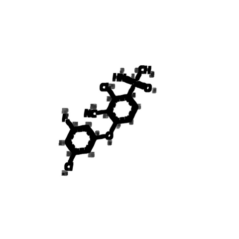 CS(=N)(=O)c1ccc(Oc2cc(F)cc(Cl)c2)c(C#N)c1Cl